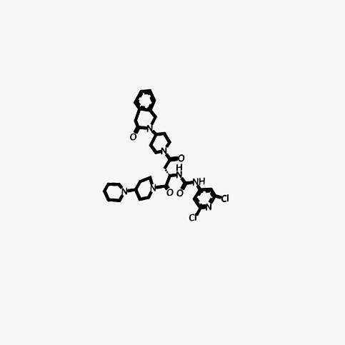 O=C(Nc1cc(Cl)nc(Cl)c1)N[C@@H](CC(=O)N1CCC(N2Cc3ccccc3CC2=O)CC1)C(=O)N1CCC(N2CCCCC2)CC1